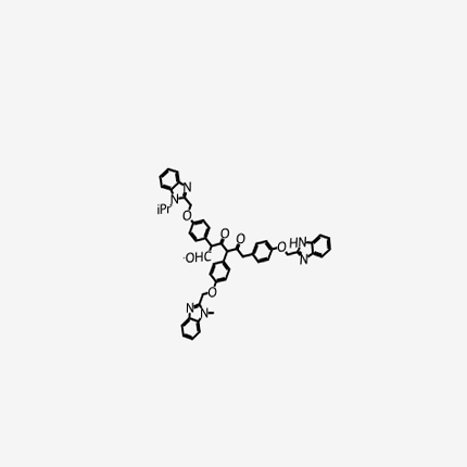 CC(C)n1c(COc2ccc(C([C]=O)C(=O)C(C(=O)Cc3ccc(OCc4nc5ccccc5[nH]4)cc3)c3ccc(OCc4nc5ccccc5n4C)cc3)cc2)nc2ccccc21